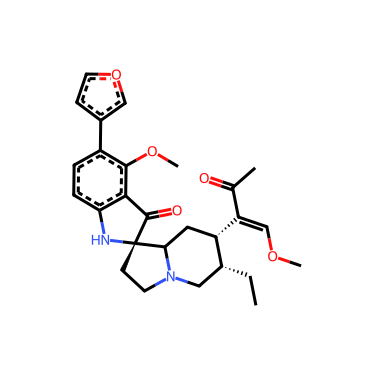 CC[C@@H]1CN2CC[C@]3(Nc4ccc(-c5ccoc5)c(OC)c4C3=O)C2C[C@@H]1/C(=C\OC)C(C)=O